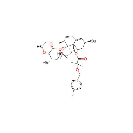 C[C@H]1C=CC2=C[C@@H](C(C)(C)C)C[C@H](OC(=O)C(C)(C)OCc3ccc(F)cc3)[C@@H]2[C@@]1(CC[C@@H]1C[C@H](C(C)(C)C)C(O[SiH](C)C)C(=O)O1)O[SiH](C)C